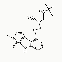 Cn1ccc2c([nH]c3cccc(OCC(O)CNC(C)(C)C)c32)c1=O